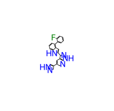 Fc1ccccc1-c1cccc2[nH]c(-c3n[nH]c4ncc(-c5cn[nH]c5)cc34)cc12